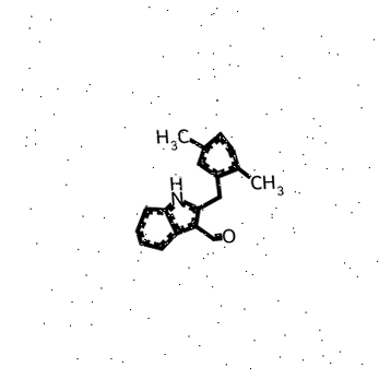 Cc1ccc(C)c(Cc2[nH]c3ccccc3c2C=O)c1